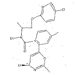 CC[C@H]1C=C(c2cc(C)ccc2C(=O)N(CC)C(C)COc2ccc(Cl)cn2)OC(C)=N1